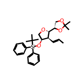 CC=C[C@@H]1[C@@H]([C@@H]2COC(C)(C)O2)OC[C@@H]1O[Si](c1ccccc1)(c1ccccc1)C(C)(C)C